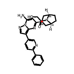 Nc1cc([C@H]2C[C@H]3CC[C@@H](C2)N3C(=O)CO)nc2c(-c3ccc(-c4ccccc4)nc3)cnn12